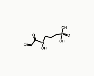 O=CC(=O)N(O)CCCP(=O)(O)O